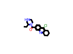 CCC1CNCCN1C(=O)c1ccc2c(Cl)c3c(nc2c1)CCCC3